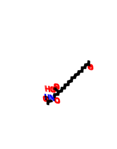 CC(=O)CCCCCCCCCCCCCCCCC(CCC(=O)NCC(C)=O)C(=O)O